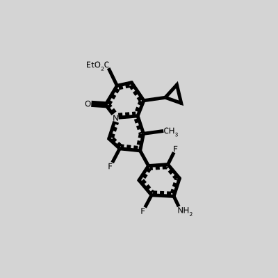 CCOC(=O)c1cc(C2CC2)c2c(C)c(-c3cc(F)c(N)cc3F)c(F)cn2c1=O